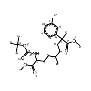 COC(=O)C(CCC(C)CCC(C)(C(=O)OC)c1cccc(I)c1)NC(=O)OC(C)(C)C